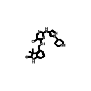 CC1(C)C(=O)Nc2cccc(CNc3nc(Nc4cnn(C5CCNCC5)c4)ncc3Cl)c21